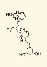 C[C@H](CCc1ccccc1C(C)(C)O)[C@H]1CC[C@H]2/C(=C/C=C3C[C@@H](O)C[C@H](O)C3)CCC[C@]12C